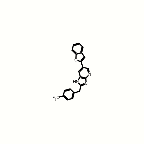 FC(F)(F)c1ccc(Cc2nc3ncc(-c4cc5ccccc5o4)cc3[nH]2)cc1